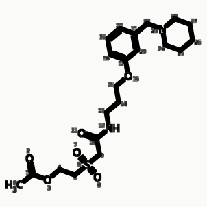 CC(=O)OCCS(=O)(=O)CC(=O)NCCCOc1cccc(CN2CCCCC2)c1